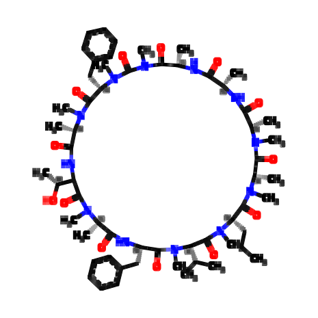 CCC[C@H]1C(=O)N(C)[C@@H](C)C(=O)N(C)[C@@H](C)C(=O)N[C@@H](C)C(=O)N[C@@H](C)C(=O)N(C)C(=O)N(C)[C@@H](Cc2ccccc2)C(=O)N(C)[C@@H](C)C(=O)NC([C@@H](C)O)C(=O)N(C)[C@@H](C)C(=O)N[C@@H](Cc2ccccc2)C(=O)N(C)[C@@H](C(C)C)C(=O)N1C